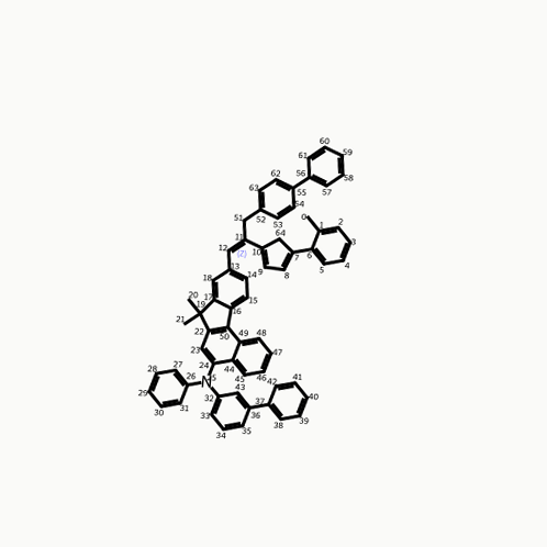 Cc1ccccc1C1=CC=C(/C(=C\c2ccc3c(c2)C(C)(C)c2cc(N(c4ccccc4)c4cccc(-c5ccccc5)c4)c4ccccc4c2-3)Cc2ccc(-c3ccccc3)cc2)C1